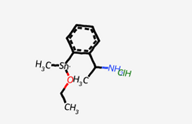 CC[O][Sn]([CH3])[c]1ccccc1C(C)N.Cl